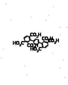 O=C(O)c1ccc(C(=O)O)c(-c2ccc(-c3c(C(=O)O)ccc(C(=O)O)c3C(=O)O)cc2)c1C(=O)O